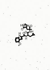 COc1cccc2[nH]c(C(=O)NC(CC3CC3)C(=O)NC(C)(CC3CCNC3=O)C(N)=O)cc12